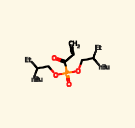 C=CC(=O)P(=O)(OCC(CC)CCCC)OCC(CC)CCCC